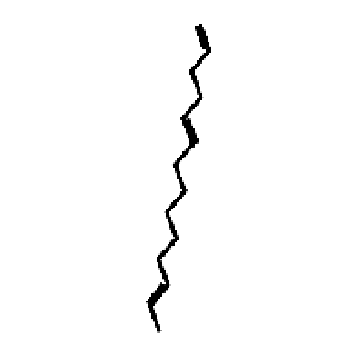 C=CCCC=CCCCCCC=CC